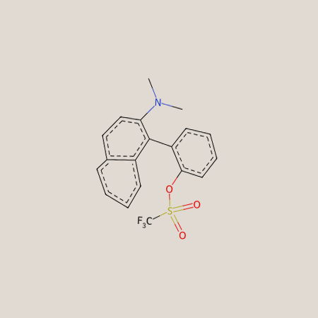 CN(C)c1ccc2ccccc2c1-c1ccccc1OS(=O)(=O)C(F)(F)F